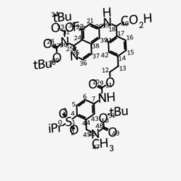 CC(C)S(=O)(=O)c1ccc(NC(=O)OCCc2ccc(C(Nc3cc(F)c4c(N(C(=O)OC(C)(C)C)C(=O)OC(C)(C)C)nccc4c3)C(=O)O)cc2)cc1CN(C)C(=O)OC(C)(C)C